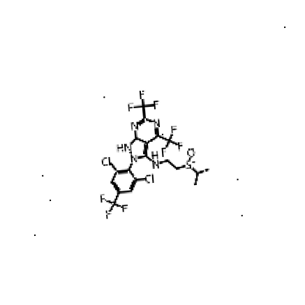 CC(C)[S+]([O-])CCNC1=C2C(C(F)(F)F)=NC(C(F)(F)F)=NC2NN1c1c(Cl)cc(C(F)(F)F)cc1Cl